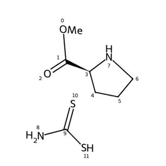 COC(=O)[C@@H]1CCCN1.NC(=S)S